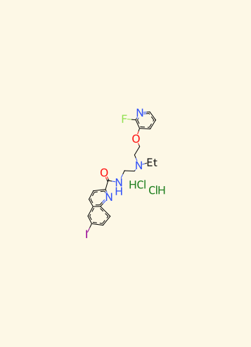 CCN(CCNC(=O)c1ccc2cc(I)ccc2n1)CCOc1cccnc1F.Cl.Cl